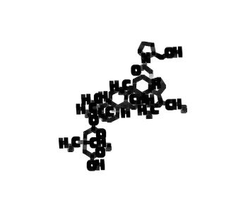 C=C(C)[C@@H]1CC[C@]2(CC(=O)N3CCC[C@H]3CO)CC[C@]3(C)[C@H](CC[C@@H]4[C@@]5(C)CC[C@H](OC(=O)CC(C)(C)CC(=O)O)C(C)(C)[C@@H]5CC[C@]43C)[C@@H]12